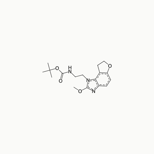 COc1nc2ccc3c(c2n1CCNC(=O)OC(C)(C)C)CCO3